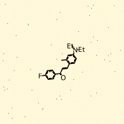 CCN(CC)c1ccc(C=CC(=O)c2ccc(F)cc2)c(C)c1